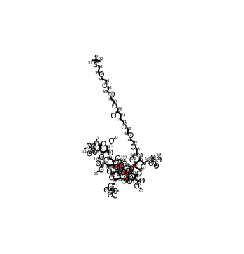 COC[C@H]1O[C@H](OC)[C@H](OS(=O)(=O)OC)[C@@H](OC)[C@@H]1O[C@@H]1O[C@@H](C(=O)OC)[C@@H](O[C@H]2O[C@H](COS(=O)(=O)OC)C(O[C@@H]3O[C@H](C(=O)OC)[C@@H](O[C@H]4O[C@H](COS(=O)(=O)OC)C(OCCOCCOCCOCCCC(=O)COCCOCCOCCOCCSC(C)(C)C)[C@H](OC)[C@H]4OC)[C@H](OC)[C@H]3OC)[C@H](OS(=O)(=O)OC)[C@H]2OS(=O)(=O)OC)[C@H](OC)[C@H]1OC